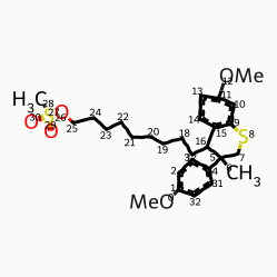 COc1ccc(C2(C)CSc3cc(OC)ccc3C2CCCCCCCCCOS(C)(=O)=O)cc1